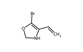 C=CC1=C(Br)OCN1